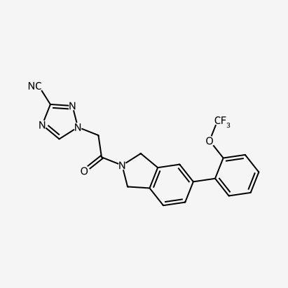 N#Cc1ncn(CC(=O)N2Cc3ccc(-c4ccccc4OC(F)(F)F)cc3C2)n1